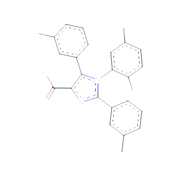 Cc1cccc(-c2nc(C(=O)O)c(-c3cccc(Cl)c3)n2-c2cc(Cl)ccc2F)c1